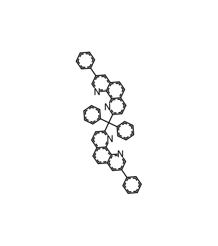 c1ccc(-c2cnc3c(ccc4ccc(C(c5ccccc5)(c5ccccc5)c5ccc6ccc7cc(-c8ccccc8)cnc7c6n5)nc43)c2)cc1